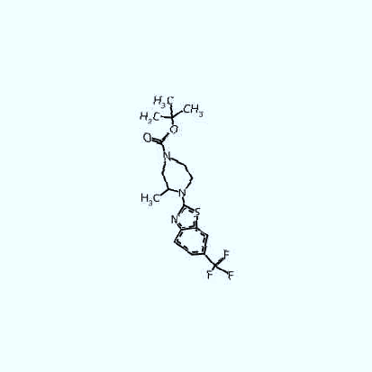 CC1CN(C(=O)OC(C)(C)C)CCN1c1nc2ccc(C(F)(F)F)cc2s1